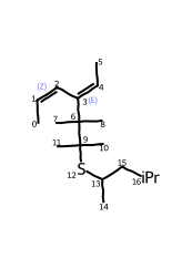 C/C=C\C(=C/C)C(C)(C)C(C)(C)SC(C)CC(C)C